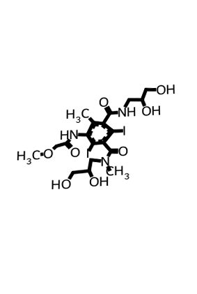 COCC(=O)Nc1c(C)c(C(=O)NCC(O)CO)c(I)c(C(=O)N(C)CC(O)CO)c1I